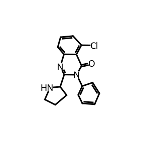 O=c1c2c(Cl)cccc2nc(C2CCCN2)n1-c1ccccc1